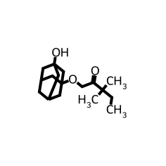 CCC(C)(C)C(=O)COC12CC3CC(CC(O)(C3)C1)C2